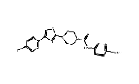 CC(=O)Nc1ccc(NC(=O)N2CCN(c3nc(-c4ccc(F)cc4)cs3)CC2)cn1